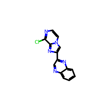 Clc1nccn2cc(-c3cnc4ccccc4n3)nc12